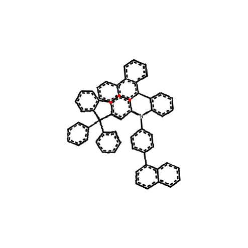 c1ccc(C2(c3ccccc3)c3ccccc3-c3ccc(N(c4ccc(-c5cccc6ccccc56)cc4)c4ccccc4-c4cc5ccccc5c5ccccc45)cc32)cc1